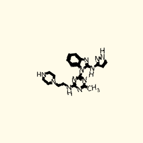 Cc1nc(NCCN2CCNCC2)nc(-n2c(Nc3cc[nH]n3)nc3ccccc32)n1